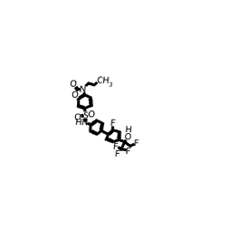 CCCn1c(=O)oc2cc(S(=O)(=O)Nc3ccc(-c4ccc(C(O)(CF)C(F)(F)F)cc4F)cc3)ccc21